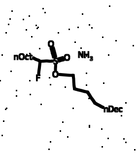 CCCCCCCCCCCCCCOS(=O)(=O)C(F)CCCCCCCC.N